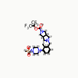 Cc1c(CN2CC3CN(C(=O)OC(C(F)(F)F)C(F)(F)F)CC3C2)cccc1N1CCN(S(C)(=O)=O)CC1